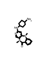 CN1C(=O)c2ccccc2N(C)c2cc(NC3CCC(N)CC3)ncc21